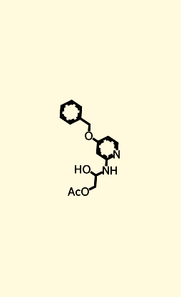 CC(=O)OCC(O)Nc1cc(OCc2ccccc2)ccn1